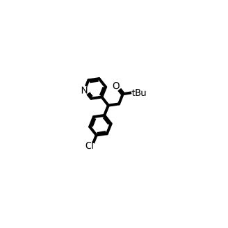 CC(C)(C)C(=O)CC(c1ccc(Cl)cc1)c1cccnc1